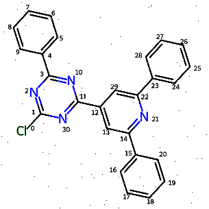 Clc1nc(-c2ccccc2)nc(-c2cc(-c3ccccc3)nc(-c3ccccc3)c2)n1